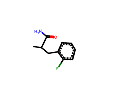 CC(Cc1ccccc1F)C(N)=O